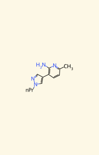 CCCn1cc(-c2ccc(C)nc2N)cn1